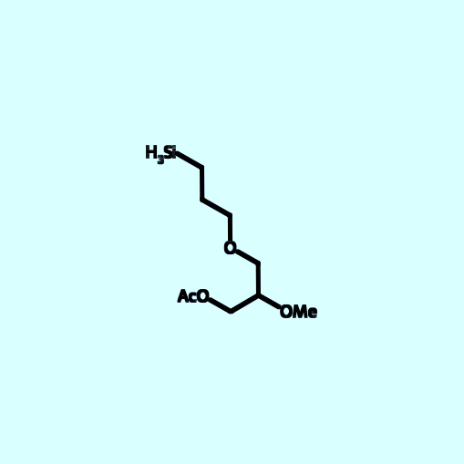 COC(COCCC[SiH3])COC(C)=O